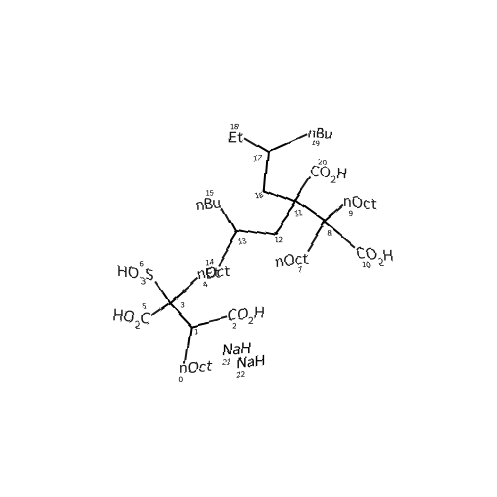 CCCCCCCCC(C(=O)O)C(CCCCCCCC)(C(=O)O)S(=O)(=O)O.CCCCCCCCC(CCCCCCCC)(C(=O)O)C(CC(CC)CCCC)(CC(CC)CCCC)C(=O)O.[NaH].[NaH]